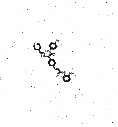 Nc1ccccc1NC(=O)/C=C/C1C=CC(C(NCCC2CCOCC2)C(=O)Nc2ccc(Br)cc2)=CC1